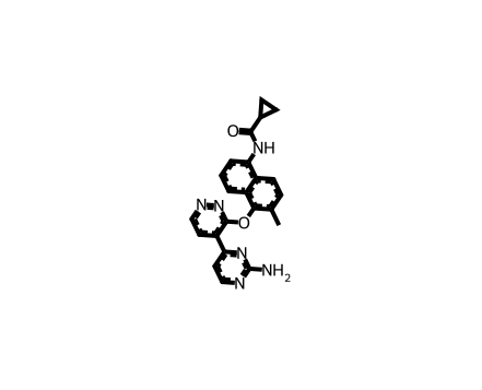 Cc1ccc2c(NC(=O)C3CC3)cccc2c1Oc1nnccc1-c1ccnc(N)n1